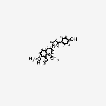 COc1ccc(CC(=O)N2CCC(c3ccc(O)cc3)=N2)c(OC)c1OC